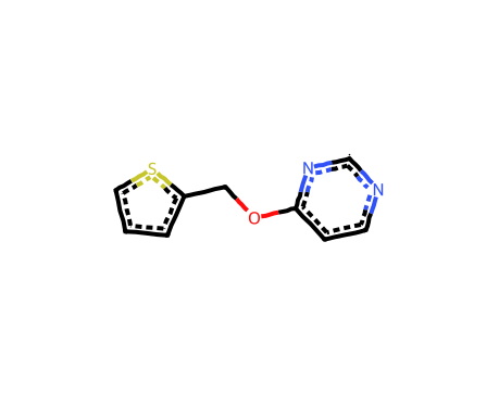 [c]1nccc(OCc2cccs2)n1